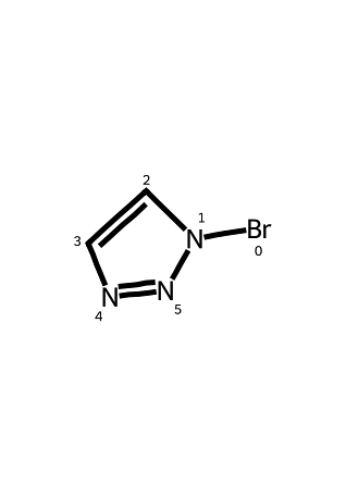 Brn1ccnn1